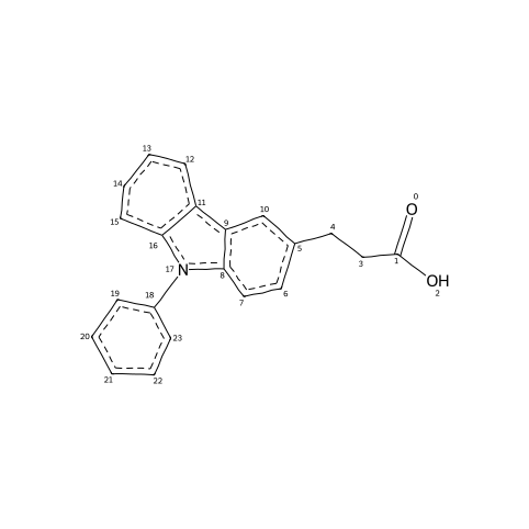 O=C(O)CCc1ccc2c(c1)c1ccccc1n2-c1ccccc1